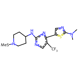 CSN1CCC(Nc2ncc(C(F)(F)F)c(-c3cnc(N(C)C)s3)n2)CC1